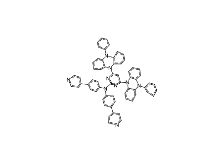 c1ccc(N2c3ccccc3N(c3cc(N4c5ccccc5N(c5ccccc5)c5ccccc54)nc(N(c4ccc(-c5ccncc5)cc4)c4ccc(-c5ccncc5)cc4)n3)c3ccccc32)cc1